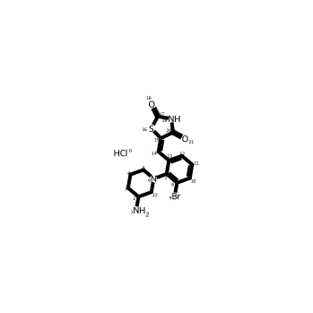 Cl.NC1CCCN(c2c(Br)cccc2/C=C2/SC(=O)NC2=O)C1